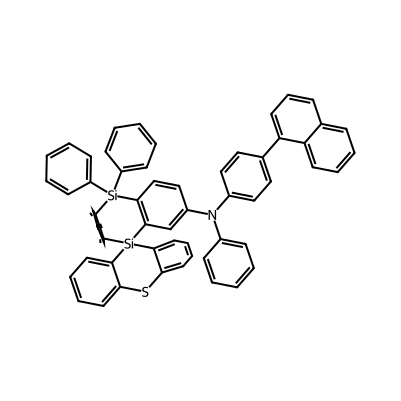 c1ccc(N(c2ccc(-c3cccc4ccccc34)cc2)c2ccc3c(c2)[Si]2(c4ccccc4Sc4ccccc42)c2ccccc2[Si]3(c2ccccc2)c2ccccc2)cc1